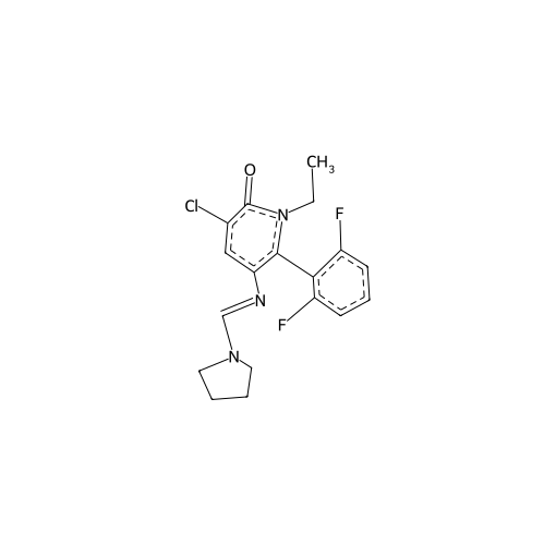 CCn1c(-c2c(F)cccc2F)c(N=CN2CCCC2)cc(Cl)c1=O